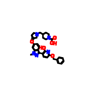 Cn1nc(-c2ccc(OCc3ccccc3)nc2O)c2ccc(O[C@@H]3CCN(CC4CCN(C(=O)O)CC4)C3)cc21